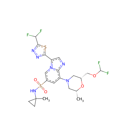 C[C@@H]1CN(c2cc(S(=O)(=O)NC3(C)CC3)cn3c(-c4nnc(C(F)F)s4)cnc23)C[C@H](COC(F)F)O1